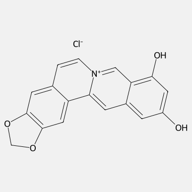 Oc1cc(O)c2c[n+]3ccc4cc5c(cc4c3cc2c1)OCO5.[Cl-]